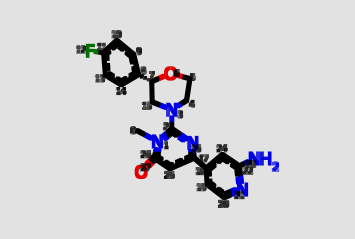 Cn1c(N2CCO[C@@H](c3ccc(F)cc3)C2)nc(-c2ccnc(N)c2)cc1=O